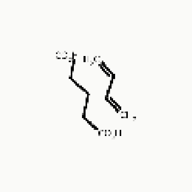 C=CC=C.O=C(O)CCCC(=O)O